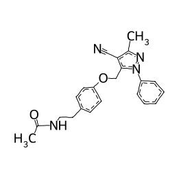 CC(=O)NCCc1ccc(OCc2c(C#N)c(C)nn2-c2ccccc2)cc1